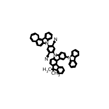 CC1(C)c2ccccc2-c2c1ccc1c2c2cc(-n3c4ccccc4c4ccccc43)ccc2n1-c1cc(C#N)c(-n2c3ccccc3c3c4c(ccc32)C=CC=CC4)cc1C#N